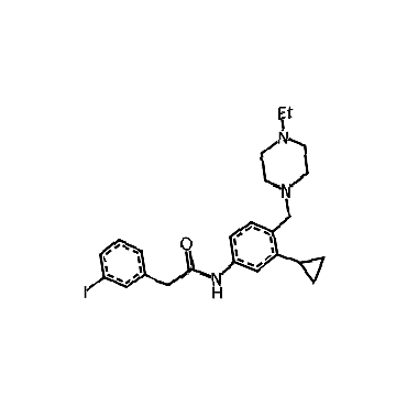 CCN1CCN(Cc2ccc(NC(=O)Cc3cccc(I)c3)cc2C2CC2)CC1